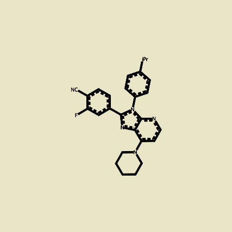 CC(C)c1ccc(-n2c(-c3ccc(C#N)c(F)c3)nc3c(N4CCCCC4)ccnc32)cc1